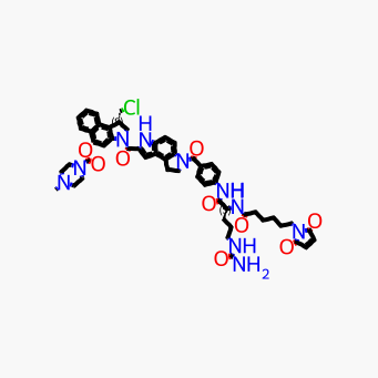 CN1CCN(C(=O)Oc2cc3c(c4ccccc24)[C@H](CCl)CN3C(=O)c2cc3c4c(ccc3[nH]2)N(C(=O)c2ccc(NC(=O)[C@H](CCCNC(N)=O)NC(=O)CCCCCN3C(=O)C=CC3=O)cc2)CC4)CC1